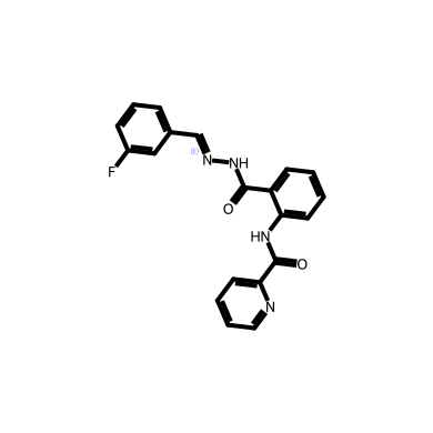 O=C(Nc1ccccc1C(=O)N/N=C/c1cccc(F)c1)c1ccccn1